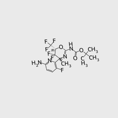 CC(C)(C)OC(=O)NC1=N[C@](C)(c2nc(N)ccc2F)C(F)(F)[C@H](C(F)(F)F)O1